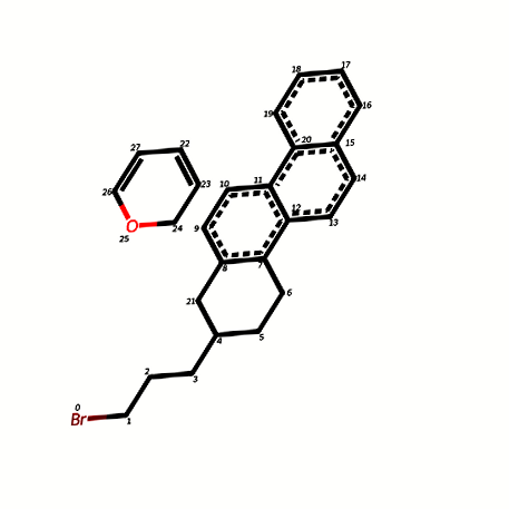 BrCCCC1CCc2c(ccc3c2ccc2ccccc23)C1.C1=CCOC=C1